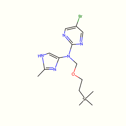 Cc1nc(N(COCC[Si](C)(C)C)c2ncc(Br)cn2)c[nH]1